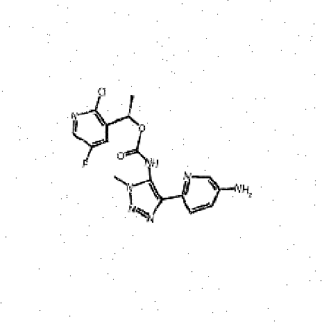 C[C@@H](OC(=O)Nc1c(-c2ccc(N)cn2)nnn1C)c1cc(F)cnc1Cl